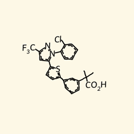 CC(C)(C(=O)O)c1cccc(-c2ccc(-c3cc(C(F)(F)F)nn3-c3ccccc3Cl)s2)c1